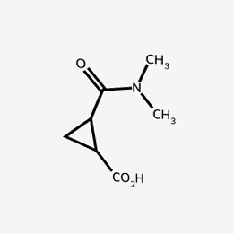 CN(C)C(=O)C1CC1C(=O)O